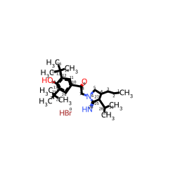 Br.CCCC1CN(CC(=O)c2cc(C(C)(C)C)c(O)c(C(C)(C)C)c2)C(=N)C1C(C)C